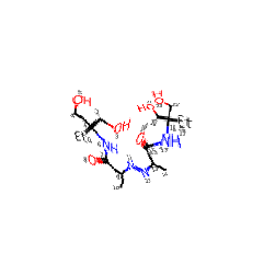 CCC(CO)(CO)NC(=O)C(C)N=NC(C)C(=O)NC(CC)(CO)CO